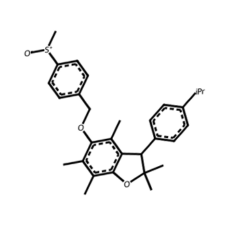 Cc1c(C)c2c(c(C)c1OCc1ccc([S+](C)[O-])cc1)C(c1ccc(C(C)C)cc1)C(C)(C)O2